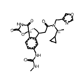 CNC(=O)Nc1ccc2c(c1)C(CC(=O)N(Cc1cocn1)[C@@H](C)C1CC1)C[C@@]21OC(=O)NC1=O